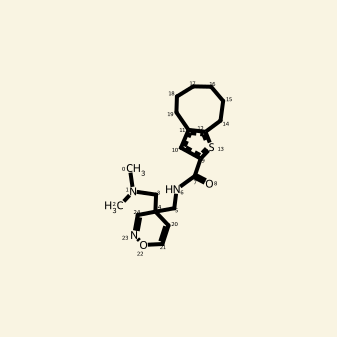 CN(C)CC1(CNC(=O)c2cc3c(s2)CCCCCC3)C=CON=C1